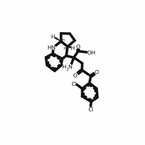 NC(CC(=O)C(=O)c1ccc(Cl)cc1Cl)(C(=O)O)C1c2ccccc2N[C@@H]2CCC[C@H]12